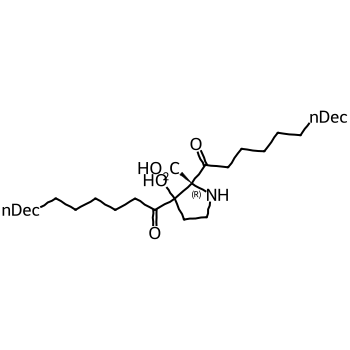 CCCCCCCCCCCCCCCC(=O)C1(O)CCN[C@@]1(C(=O)O)C(=O)CCCCCCCCCCCCCCC